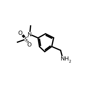 CN(c1ccc(CN)cc1)S(C)(=O)=O